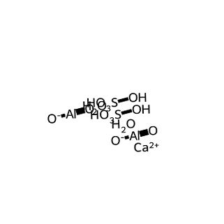 O.O.O=S(=O)(O)O.O=S(=O)(O)O.[Ca+2].[O]=[Al][O-].[O]=[Al][O-]